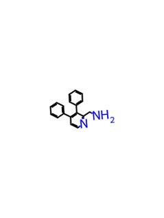 NCc1nccc(-c2ccccc2)c1-c1ccccc1